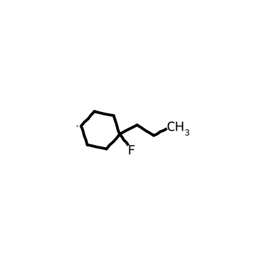 CCCC1(F)CC[CH]CC1